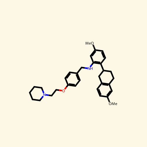 COc1ccc2c(c1)CCC(c1ccc(OC)cc1NCc1ccc(OCCN3CCCCC3)cc1)C2